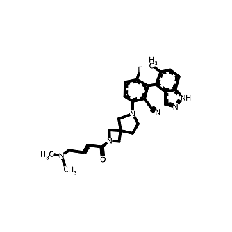 Cc1ccc2[nH]ncc2c1-c1c(F)ccc(N2CCC3(CN(C(=O)/C=C/CN(C)C)C3)C2)c1C#N